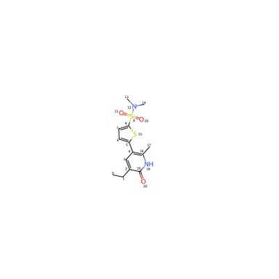 CCc1cc(-c2ccc(S(=O)(=O)N(C)C)s2)c(C)[nH]c1=O